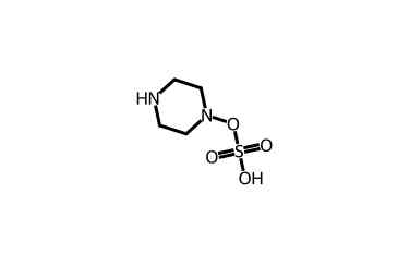 O=S(=O)(O)ON1CCNCC1